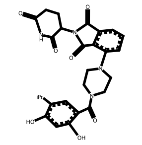 CC(C)c1cc(C(=O)N2CCN(c3cccc4c3C(=O)N(C3CCC(=O)NC3=O)C4=O)CC2)c(O)cc1O